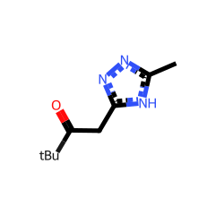 Cc1nnc(CC(=O)C(C)(C)C)[nH]1